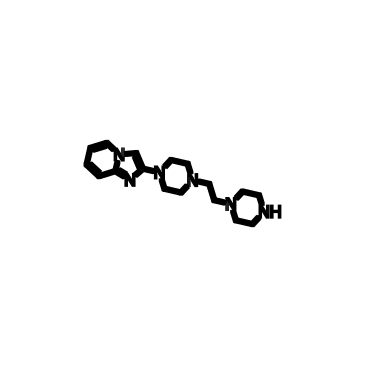 c1ccn2cc(N3CCN(CCN4CCNCC4)CC3)nc2c1